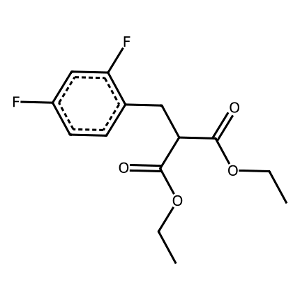 CCOC(=O)C(Cc1ccc(F)cc1F)C(=O)OCC